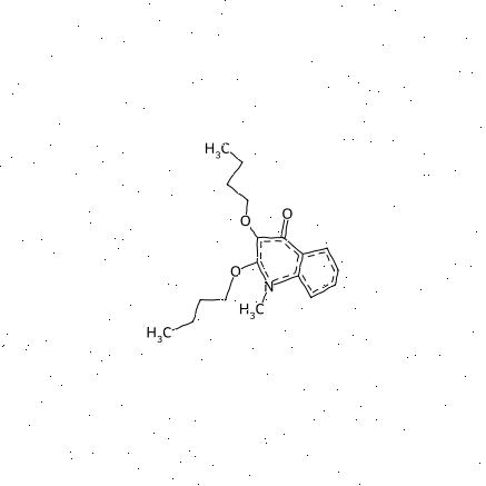 CCCCOc1c(OCCCC)n(C)c2ccccc2c1=O